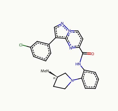 CN[C@@H]1CCN(c2ccccc2NC(=O)c2ccn3ncc(-c4cccc(Cl)c4)c3n2)C1